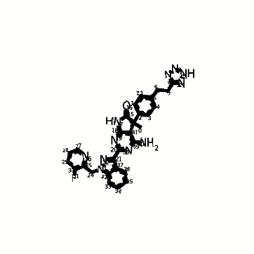 CC1(c2ccc(CCc3nn[nH]n3)cc2)C(=O)Nc2nc(-c3nn(Cc4ncccc4F)c4ccccc34)nc(N)c21